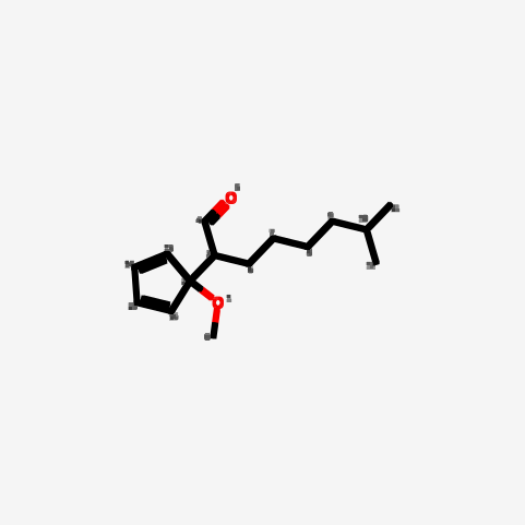 COC1(C(C=O)CCCCC(C)C)C=CC=C1